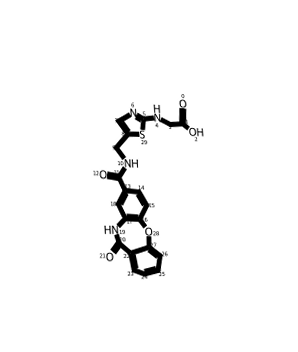 O=C(O)CNc1ncc(CNC(=O)c2ccc3c(c2)NC(=O)c2ccccc2O3)s1